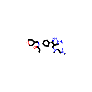 CCC(=O)N(CC1CCOCC1)[C@H]1CC[C@@H](C(=N)/C(=C\N)CN(C)CCNC)CC1